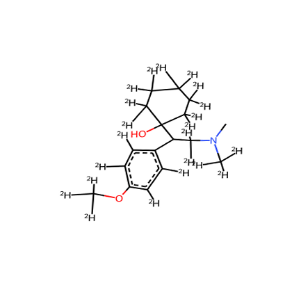 [2H]c1c([2H])c(C(C([2H])([2H])N(C)C([2H])([2H])[2H])C2(O)C([2H])([2H])C([2H])([2H])C([2H])([2H])C([2H])([2H])C2([2H])[2H])c([2H])c([2H])c1OC([2H])([2H])[2H]